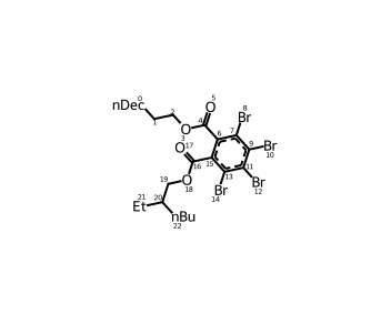 CCCCCCCCCCCCOC(=O)c1c(Br)c(Br)c(Br)c(Br)c1C(=O)OCC(CC)CCCC